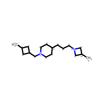 CC1CC(CN2CCC(CCCN3CC(C)C3)CC2)C1